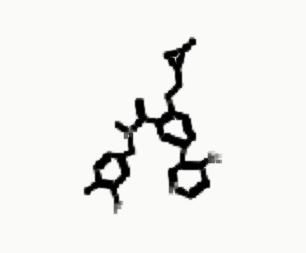 C=C(c1cc(-c2cnccc2CC)ccc1CCC1CC1C)N(C)Cc1ccc(C)c(F)c1